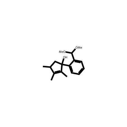 COC(OC)c1ccccc1C1(O)CC(C)C(C)=C1C